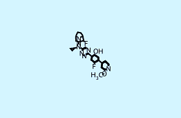 COc1cc(-c2cc(O)c(-c3ncc(N(C4CC4)C4CC5CCC(N5)C4F)nn3)cc2F)ccn1